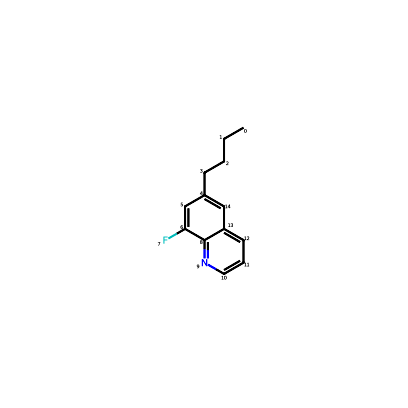 CCCCc1cc(F)c2ncccc2c1